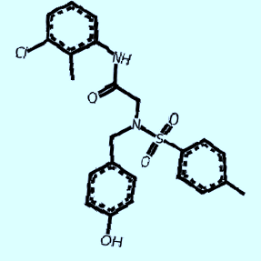 Cc1ccc(S(=O)(=O)N(CC(=O)Nc2cccc(Cl)c2C)Cc2ccc(O)cc2)cc1